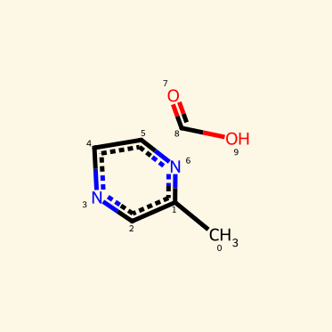 Cc1cnccn1.O=CO